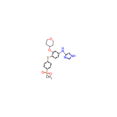 CS(=O)(=O)c1ccc(Sc2ccc(Nc3c[nH]cn3)cc2OC2CCOCC2)cc1